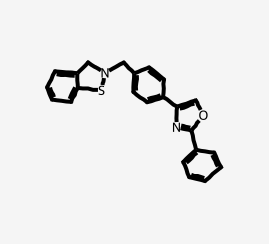 c1ccc(-c2nc(-c3ccc(CN4Cc5ccccc5S4)cc3)co2)cc1